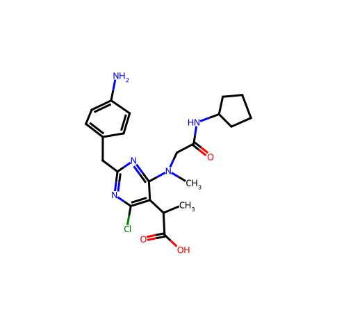 CC(C(=O)O)c1c(Cl)nc(Cc2ccc(N)cc2)nc1N(C)CC(=O)NC1CCCC1